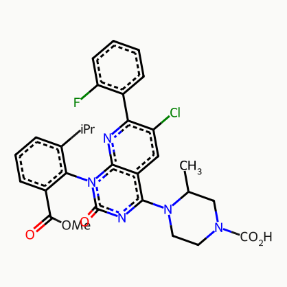 COC(=O)c1cccc(C(C)C)c1-n1c(=O)nc(N2CCN(C(=O)O)CC2C)c2cc(Cl)c(-c3ccccc3F)nc21